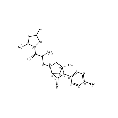 CC1CC(C#N)N(C(=O)C(N)CN2C[C@@H]3CC2C(=O)N3c2ccc(C#N)cc2)C1